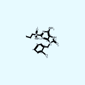 CCCS(=N)(=O)c1nc(N)c2[nH]c(=O)n(Cc3ccccc3Cl)c2n1